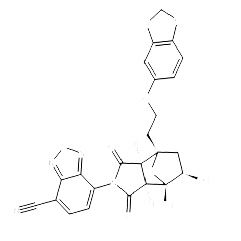 C[C@@]12O[C@@](CCOc3ccc4c(c3)OCO4)(C[C@H]1O)[C@@H]1C(=O)N(c3ccc(C#N)c4nsnc34)C(=O)[C@@H]12